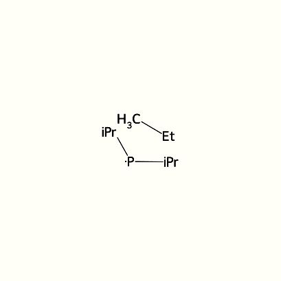 CC(C)[P]C(C)C.CCC